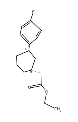 CCOC(=O)C[C@@H]1CCC[C@H](c2ccc(Cl)cc2)C1